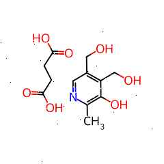 Cc1ncc(CO)c(CO)c1O.O=C(O)CCC(=O)O